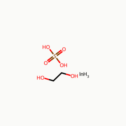 O=S(=O)(O)O.OCCO.[InH3]